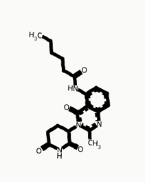 CCCCCC(=O)Nc1cccc2nc(C)n(C3CCC(=O)NC3=O)c(=O)c12